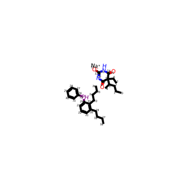 CCCC(C)C1(CC)C(=O)N=C([O-])NC1=O.CCCCc1cccc(Pc2ccccc2)c1CCCC.[Na+]